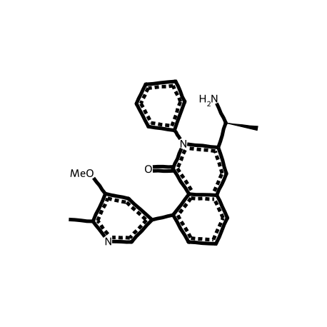 COc1cc(-c2cccc3cc([C@H](C)N)n(-c4ccccc4)c(=O)c23)cnc1C